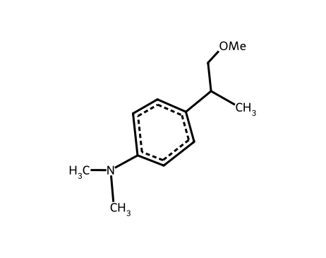 COCC(C)c1ccc(N(C)C)cc1